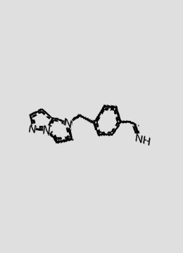 N=[C]c1ccc(Cn2ccn3nccc23)cc1